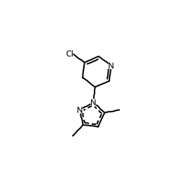 Cc1cc(C)n(C2C=NC=C(Cl)C2)n1